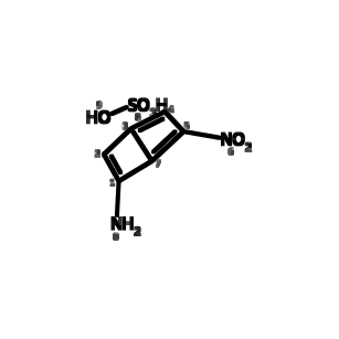 Nc1cc2cc([N+](=O)[O-])c1-2.O=S(=O)(O)O